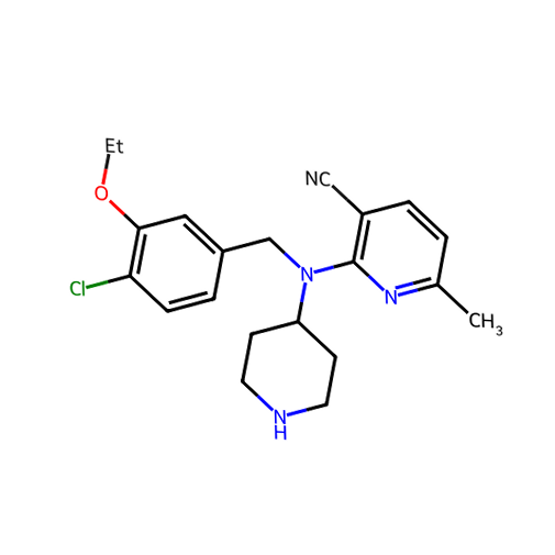 CCOc1cc(CN(c2nc(C)ccc2C#N)C2CCNCC2)ccc1Cl